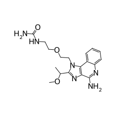 COC(C)c1nc2c(N)nc3ccccc3c2n1CCOCCNC(N)=O